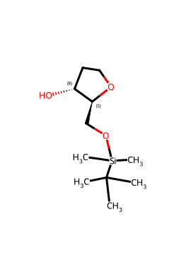 CC(C)(C)[Si](C)(C)OC[C@@H]1OCC[C@H]1O